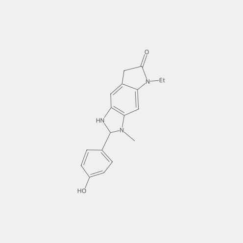 CCN1C(=O)Cc2cc3c(cc21)N(C)C(c1ccc(O)cc1)N3